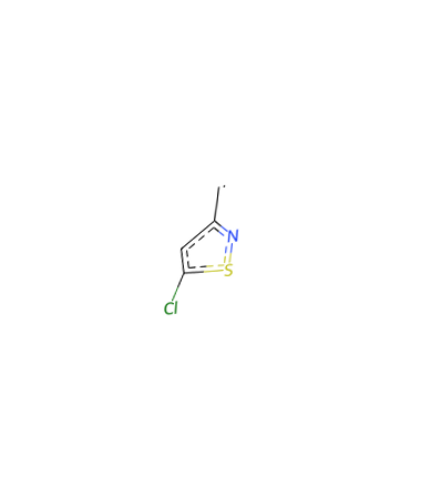 [CH2]c1cc(Cl)sn1